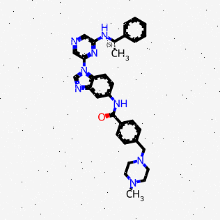 C[C@H](Nc1cncc(-n2cnc3cc(NC(=O)c4ccc(CN5CCN(C)CC5)cc4)ccc32)n1)c1ccccc1